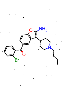 CCCCN1CCC(c2c(N)oc3ccc(C(=O)c4ccccc4Br)cc23)CC1